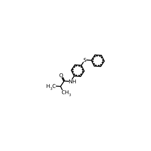 CC(C)C(=O)Nc1ccc(Sc2ccccc2)cc1